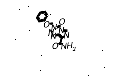 NC(=O)c1ncn2c(=O)n(COc3ccccc3)nnc12